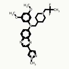 COc1cc(OC)cc(N(CC2CCN(CC(C)(F)F)CC2)c2ccc3ncc(-c4cnn(C)c4)nc3c2)c1